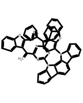 C=Cc1oc2ccccc2c1C(=C)c1nc(-c2ccccc2)nc(-n2c3ccccc3c3ccc4c5ccccc5n(-c5ccc(-c6ccccc6)c6c5oc5ccccc56)c4c32)n1